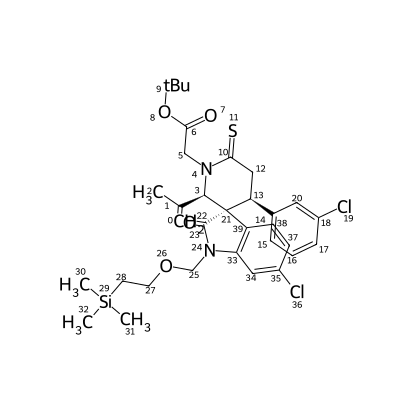 C=C(C)[C@H]1N(CC(=O)OC(C)(C)C)C(=S)C[C@@H](c2cccc(Cl)c2)[C@]12C(=O)N(COCC[Si](C)(C)C)c1cc(Cl)ccc12